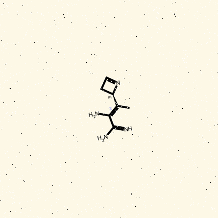 C/C(=C(/N)C(=N)N)[C@H]1CC=N1